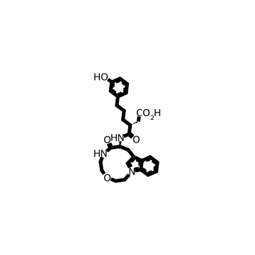 O=C(O)C[C@@H](CCCc1cccc(O)c1)C(=O)N[C@H]1Cc2cn(c3ccccc23)CCOCCNC1=O